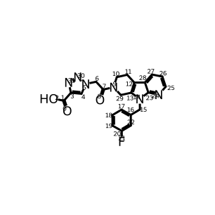 O=C(O)c1cn(CC(=O)N2CCc3c(n(Cc4cccc(F)c4)c4ncccc34)C2)nn1